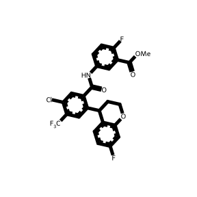 COC(=O)c1cc(NC(=O)c2cc(Cl)c(C(F)(F)F)cc2C2CCOc3cc(F)ccc32)ccc1F